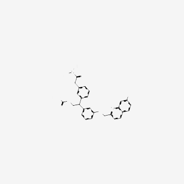 CN(C)C(=O)Cc1cccc(C(CSC(=O)O)c2cccc(OCc3ccc4ccc(Cl)cc4n3)c2)c1